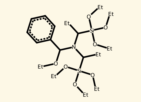 CCOC(c1ccccc1)N(C(CC)[Si](OCC)(OCC)OCC)C(CC)[Si](OCC)(OCC)OCC